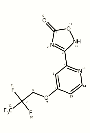 O=c1nc(-c2cc(OCC(F)(F)C(F)(F)F)ccn2)[nH]o1